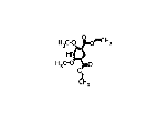 CCOC(=O)C1=C(OC)NC(OC)=C(C(=O)OCC)C1